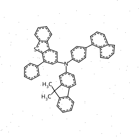 CC1(C)c2ccccc2-c2ccc(N(c3ccc(-c4cccc5ccccc45)cc3)c3cc(-c4ccccc4)c4sc5ccccc5c4c3)cc21